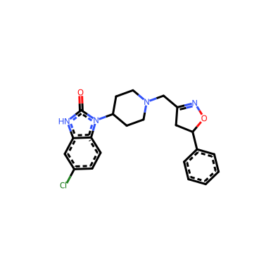 O=c1[nH]c2cc(Cl)ccc2n1C1CCN(CC2=NOC(c3ccccc3)C2)CC1